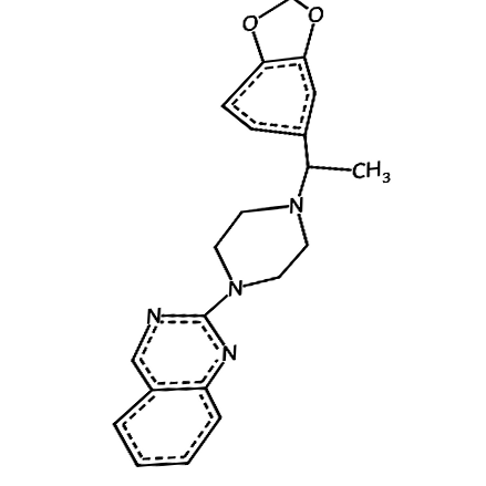 CC(c1ccc2c(c1)OCO2)N1CCN(c2ncc3ccccc3n2)CC1